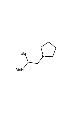 CNC(CN1CCCC1)C(C)(C)C